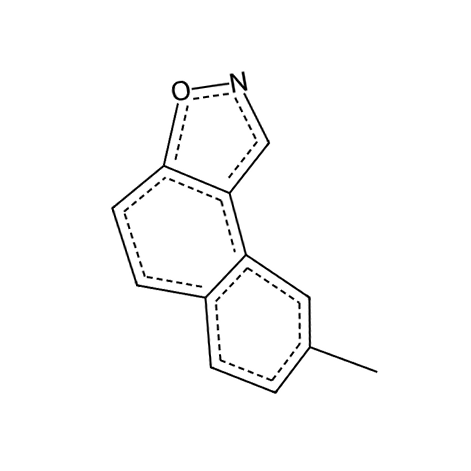 Cc1ccc2ccc3oncc3c2c1